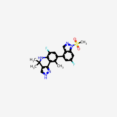 Cc1c(-c2cc(F)cc3c2cnn3S(C)(=O)=O)cc(F)c2c1-c1n[nH]cc1C(C)(C)N2